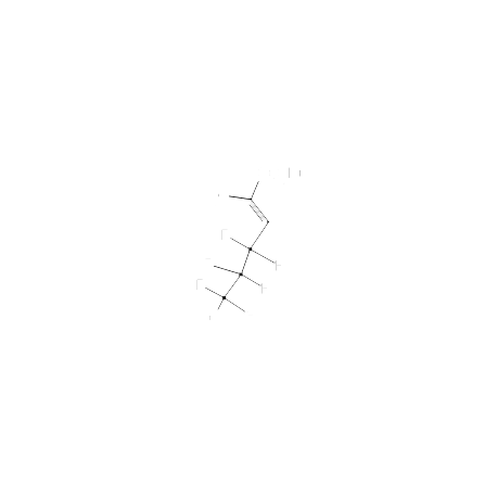 CCOC(=O)C(C)=CC(F)(F)C(F)(F)C(F)(F)C(F)(F)F